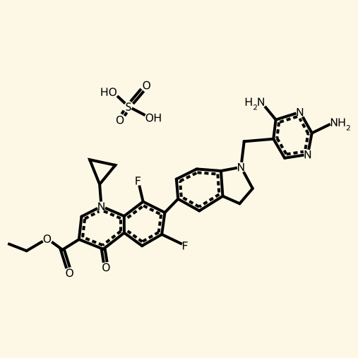 CCOC(=O)c1cn(C2CC2)c2c(F)c(-c3ccc4c(c3)CCN4Cc3cnc(N)nc3N)c(F)cc2c1=O.O=S(=O)(O)O